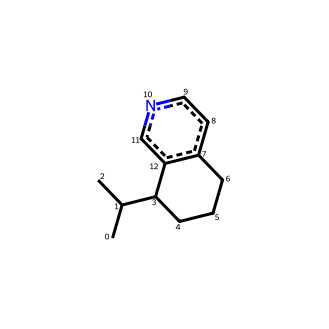 CC(C)C1CCCc2ccncc21